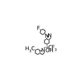 Cc1ccc2ccn(CC(O)(c3ccc4c(cnn4-c4ccc(F)cc4)c3)C(F)(F)F)c2c1